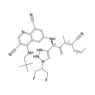 C=C(/C(C)=C(C#N)\C=C/C)[C@H](Nc1cc(C#N)c2ncc(C#N)c(NCC(C)(C)C)c2c1)C1=CN(C(CF)CF)NN1